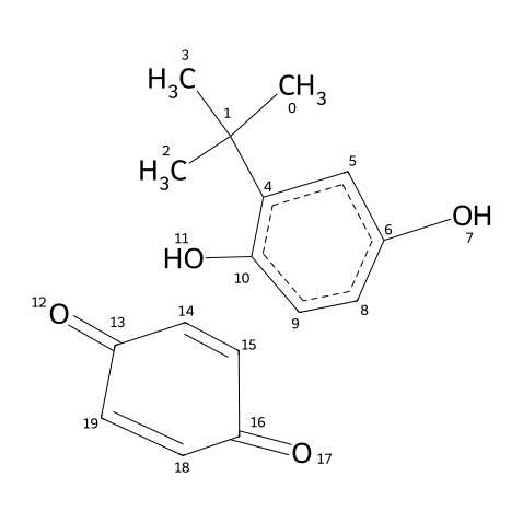 CC(C)(C)c1cc(O)ccc1O.O=C1C=CC(=O)C=C1